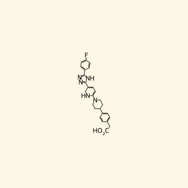 O=C(O)Cc1ccc(C2CCN(C3=CC=C(c4nnc(-c5ccc(F)cc5)[nH]4)CN3)CC2)cc1